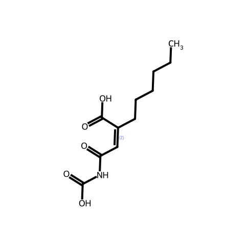 CCCCCC/C(=C/C(=O)NC(=O)O)C(=O)O